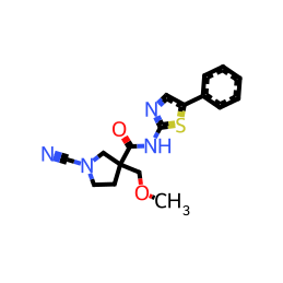 COCC1(C(=O)Nc2ncc(-c3ccccc3)s2)CCN(C#N)C1